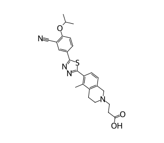 Cc1c(-c2nnc(-c3ccc(OC(C)C)c(C#N)c3)s2)ccc2c1CCN(CCC(=O)O)C2